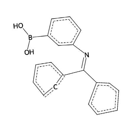 OB(O)c1cccc(N=C(c2ccccc2)c2ccccc2)c1